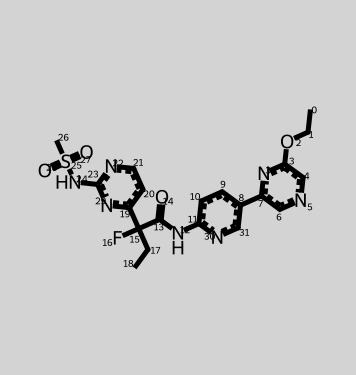 CCOc1cncc(-c2ccc(NC(=O)C(F)(CC)c3ccnc(NS(C)(=O)=O)n3)nc2)n1